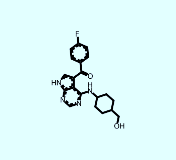 O=C(c1ccc(F)cc1)c1c[nH]c2ncnc(NC3CCC(CO)CC3)c12